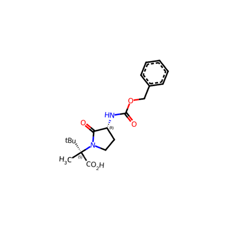 CC(C)(C)[C@@](C)(C(=O)O)N1CC[C@@H](NC(=O)OCc2ccccc2)C1=O